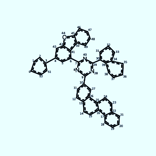 c1ccc(-c2cc(-c3nc(-c4ccc5ccc6c7ccccc7ccc6c5c4)nc(-c4cccc5ccccc45)n3)c3c(c2)oc2ccccc23)cc1